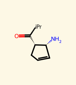 CC(C)C(=O)[C@H]1CC=C[C@H]1N